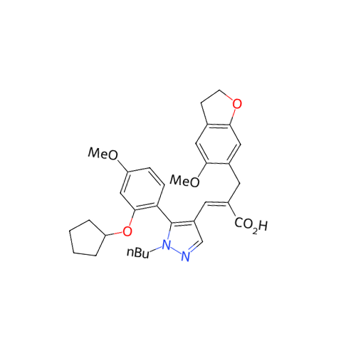 CCCCn1ncc(C=C(Cc2cc3c(cc2OC)CCO3)C(=O)O)c1-c1ccc(OC)cc1OC1CCCC1